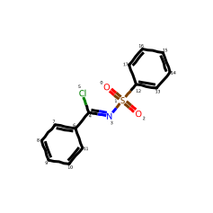 O=S(=O)(/N=C(\Cl)c1ccccc1)c1ccccc1